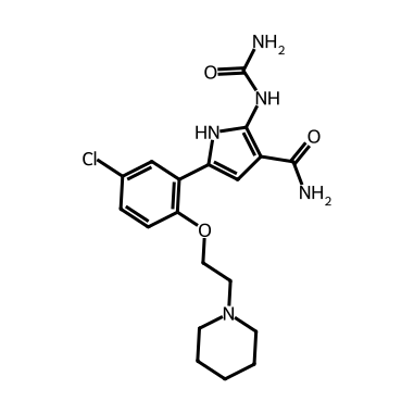 NC(=O)Nc1[nH]c(-c2cc(Cl)ccc2OCCN2CCCCC2)cc1C(N)=O